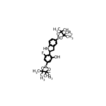 CC1(C)OB(c2cc(O)c(C3Cc4cc(B5OC(C)(C)C(C)(C)O5)ccc4N3)c(F)c2)OC1(C)C